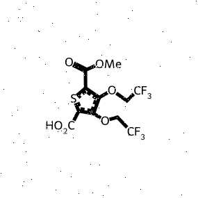 COC(=O)c1sc(C(=O)O)c(OCC(F)(F)F)c1OCC(F)(F)F